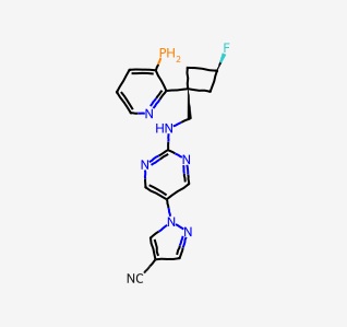 N#Cc1cnn(-c2cnc(NC[C@]3(c4ncccc4P)C[C@H](F)C3)nc2)c1